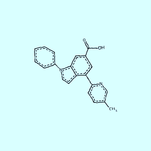 Cc1ccc(-c2cc(C(=O)O)cc3c2ccn3-c2ccccc2)nc1